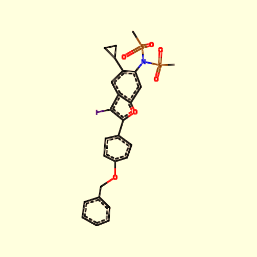 CS(=O)(=O)N(c1cc2oc(-c3ccc(OCc4ccccc4)cc3)c(I)c2cc1C1CC1)S(C)(=O)=O